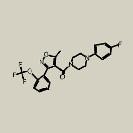 Cc1onc(-c2ccccc2OC(F)(F)F)c1C(=O)N1CCN(c2ccc(F)cc2)CC1